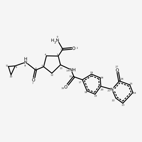 NC(=O)C1CC(C(=O)NC2CC2)CC1NC(=O)c1ccc(-n2ccccc2=O)cc1